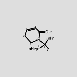 CCCCCCCC(C)(CCC)N1CCC=CC1=O